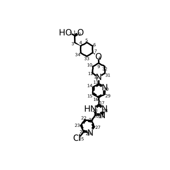 O=C(O)C[C@H]1CC[C@H](OC2CCN(c3ccc(-c4nnc(-c5ccc(Cl)nc5)[nH]4)cn3)CC2)CC1